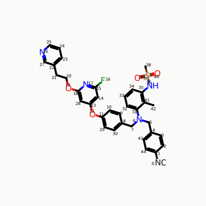 [C-]#[N+]c1ccc(CN(Cc2ccc(Oc3cc(F)nc(OCCc4cccnc4)c3)cc2)c2cccc(NS(C)(=O)=O)c2C)cc1